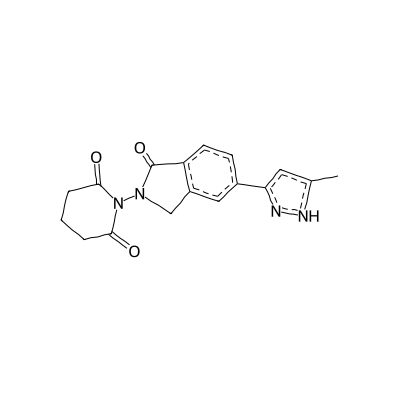 Cc1cc(-c2ccc3c(c2)CN(N2C(=O)CCCC2=O)C3=O)n[nH]1